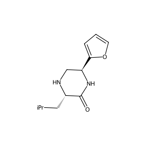 CC(C)C[C@@H]1NC[C@@H](c2ccco2)NC1=O